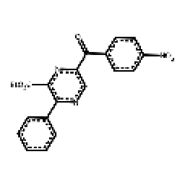 CCOC(=O)c1nc(C(=O)c2ccc([N+](=O)[O-])cc2)cnc1-c1ccccc1